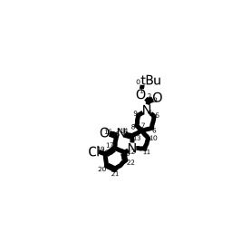 CC(C)(C)OC(=O)N1CCC2(CC1)CCn1c2nc(=O)c2c(Cl)cccc21